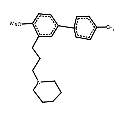 COc1ccc(-c2ccc(C(F)(F)F)cc2)cc1CCCN1CCCCC1